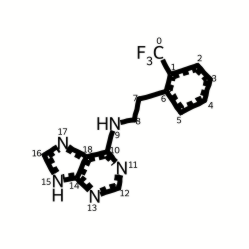 FC(F)(F)c1ccccc1CCNc1ncnc2[nH]cnc12